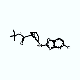 CC(C)(C)OC(=O)N1CC2(Nc3nc4nc(Cl)ccc4o3)CCC1CC2